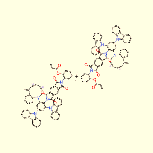 C=CC(=O)Oc1ccc(C(C)(C)c2ccc(OC(=O)C=C)c(-n3c(=O)c4cc5c(=O)n(-c6c(N7C/C=C\C=C/C(=C)c8ccccc87)cc(-n7c8ccccc8c8ccccc87)cc6-n6c7ccccc7c7ccccc76)c(=O)c5cc4c3=O)c2)cc1-n1c(=O)c2cc3c(=O)n(-c4c(N5C/C=C\C=C/C(=C)c6ccccc65)cc(-n5c6ccccc6c6ccccc65)cc4-n4c5ccccc5c5ccccc54)c(=O)c3cc2c1=O